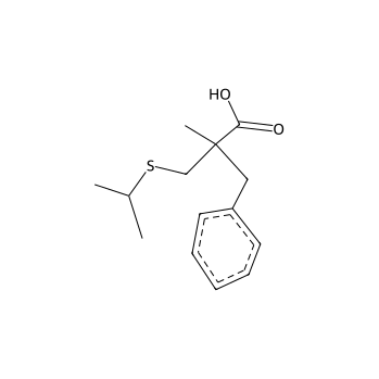 CC(C)SCC(C)(Cc1ccccc1)C(=O)O